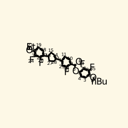 CCCCOc1ccc(OC(=O)c2ccc(C3=CCC(c4ccc(OCC)c(F)c4F)CC3)cc2F)c(F)c1F